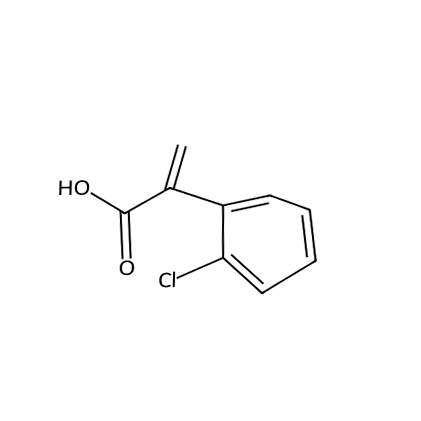 C=C(C(=O)O)c1ccccc1Cl